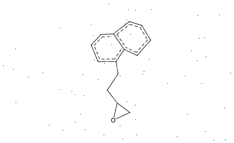 c1ccc2c(CCC3CO3)cccc2c1